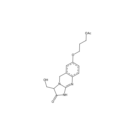 CC(=O)OCCCOc1ccc2c(c1)CN1C(=N2)NC(=O)C1CO